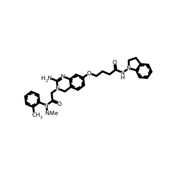 CNN(C(=O)CN1Cc2ccc(OCCCC(=O)NN3CCc4ccccc43)cc2N=C1N)c1ccccc1C